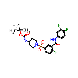 CC(C)(C)OC(=O)NC1CCN(S(=O)(=O)c2ccc(F)c(C(=O)Nc3ccc(F)c(F)c3)c2)CC1